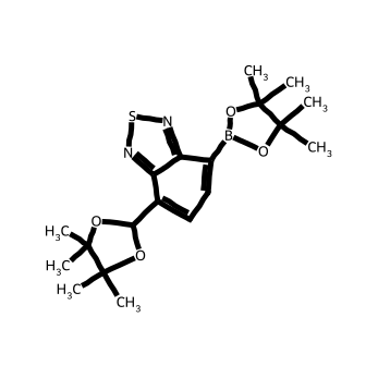 CC1(C)OB(c2ccc(C3OC(C)(C)C(C)(C)O3)c3nsnc23)OC1(C)C